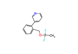 CC(F)(F)OCc1ccccc1-c1cccnc1